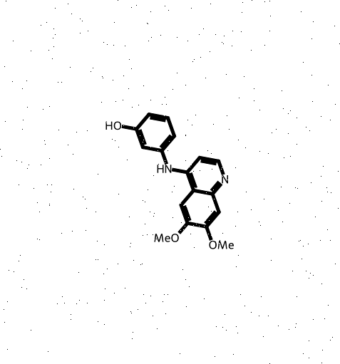 COc1cc2nccc(Nc3cccc(O)c3)c2cc1OC